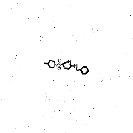 C=C1CCN(S(=O)(=O)c2ccc(NCc3ccccc3)nc2)CC1